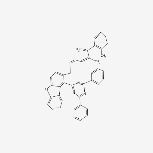 C=C(C1=C(C)CCC=C1)/C(C)=C\C=C/Cc1ccc2oc3ccccc3c2c1-c1nc(-c2ccccc2)nc(-c2ccccc2)n1